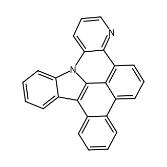 c1ccc2c(c1)c1cccc3c4ncccc4n4c5ccccc5c2c4c13